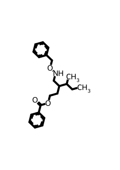 CCC(C)C(CCOC(=O)c1ccccc1)CNOCc1ccccc1